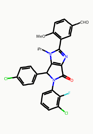 COc1ccc(C=O)cc1-c1nc2c(n1C(C)C)C(c1ccc(Cl)cc1)N(c1cccc(Cl)c1F)C2=O